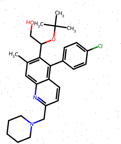 Cc1cc2nc(CN3CCCCC3)ccc2c(-c2ccc(Cl)cc2)c1C(CO)OC(C)(C)C